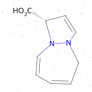 O=C(O)[C@@H]1C=CN2CC=CC=CN12